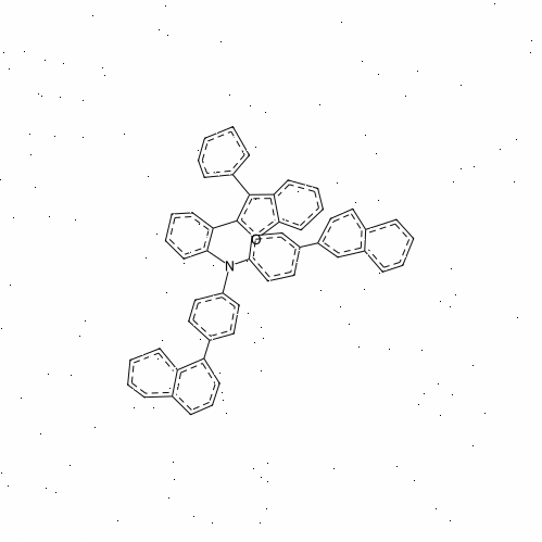 c1ccc(-c2c(-c3ccccc3N(c3ccc(-c4ccc5ccccc5c4)cc3)c3ccc(-c4cccc5ccccc45)cc3)oc3ccccc23)cc1